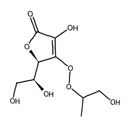 CC(CO)OOC1=C(O)C(=O)O[C@@H]1[C@@H](O)CO